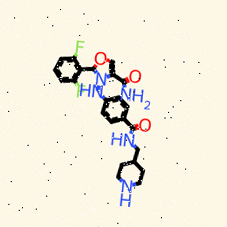 NC(=O)C1=COC(c2c(F)cccc2F)N1Nc1ccc(C(=O)NCC2CCNCC2)cc1